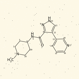 CN1CCC(NC(=O)c2n[nH]cc2-c2cccnc2)CC1